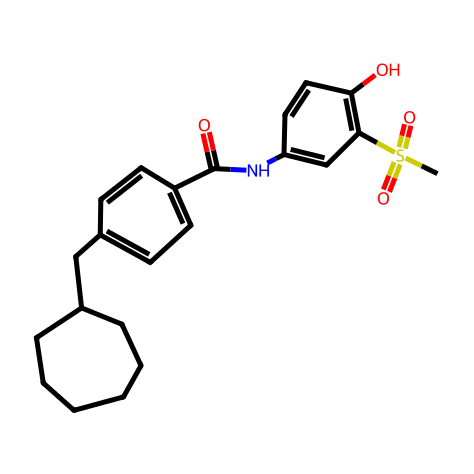 CS(=O)(=O)c1cc(NC(=O)c2ccc(CC3CCCCCC3)cc2)ccc1O